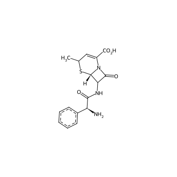 CC1C=C(C(=O)O)N2C(=O)C(NC(=O)[C@@H](N)c3ccccc3)[C@@H]2S1